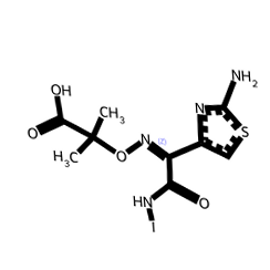 CC(C)(O/N=C(\C(=O)NI)c1csc(N)n1)C(=O)O